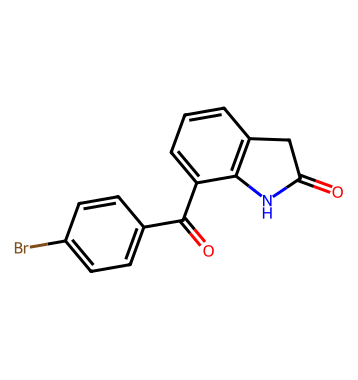 O=C1Cc2cccc(C(=O)c3ccc(Br)cc3)c2N1